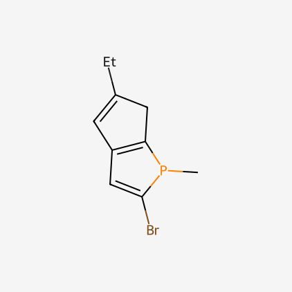 CCC1=Cc2cc(Br)p(C)c2C1